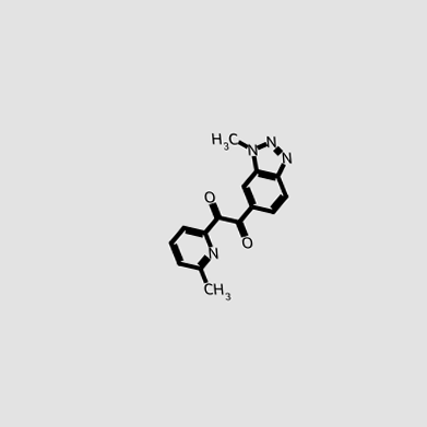 Cc1cccc(C(=O)C(=O)c2ccc3nnn(C)c3c2)n1